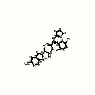 O=C(N[C@@H](Cc1ccc(F)cc1)C(=O)NCc1ccco1)c1cc2cc(Cl)ncc2[nH]1